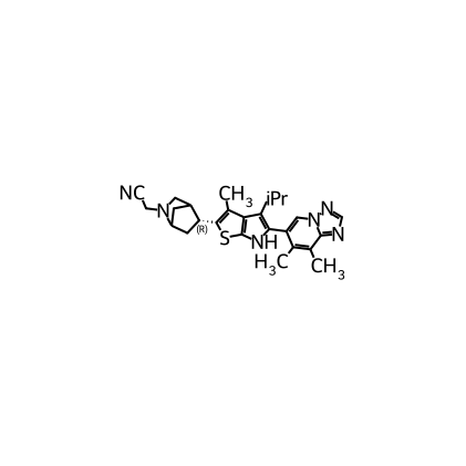 Cc1c(-c2[nH]c3sc([C@@H]4CC5CC4CN5CC#N)c(C)c3c2C(C)C)cn2ncnc2c1C